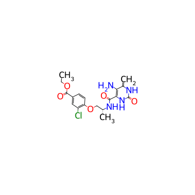 C=C1NC(=O)NC(C(=O)N[C@H](C)COc2ccc(C(=O)OCC)cc2Cl)=C1N